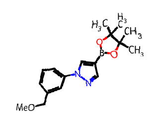 COCc1cccc(-n2cc(B3OC(C)(C)C(C)(C)O3)cn2)c1